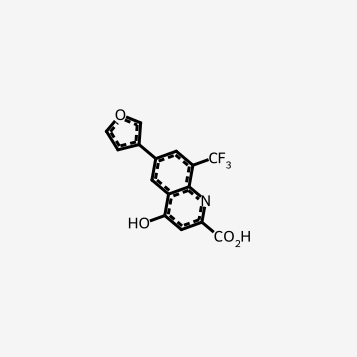 O=C(O)c1cc(O)c2cc(-c3ccoc3)cc(C(F)(F)F)c2n1